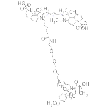 CCN1\C(=C/C=C/C=C/C2=[N+](CCCCCC(=O)NCCOCCOCCOCCn3cc(CN([C@@H](C(=O)NO)C(C)C)S(=O)(=O)c4ccc(OC)cc4)nn3)c3ccc4ccc(S(=O)(=O)O)cc4c3C2(C)C)C(C)(C)c2c1ccc1c(S(=O)(=O)O)cccc21